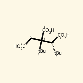 CC(C)(C)[C@@H](C(=O)O)C(CC(=O)O)(C(=O)O)C(C)(C)C